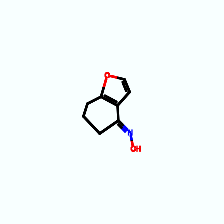 ON=C1CCCc2occc21